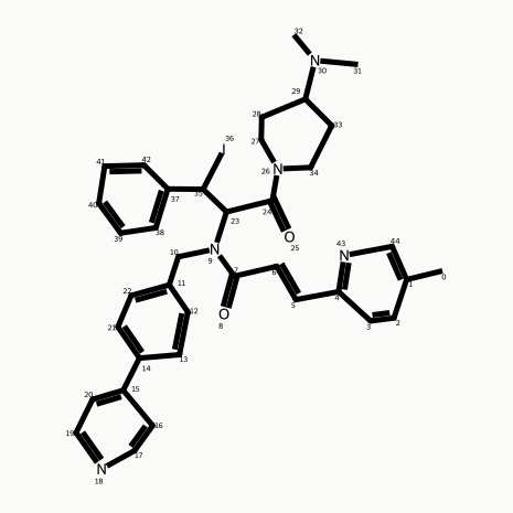 Cc1ccc(C=CC(=O)N(Cc2ccc(-c3ccncc3)cc2)C(C(=O)N2CCC(N(C)C)CC2)C(I)c2ccccc2)nc1